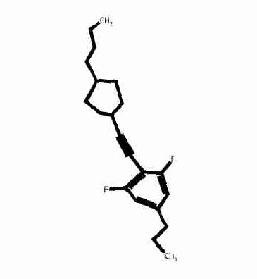 CCCCC1CCC(C#Cc2c(F)cc(CCC)cc2F)CC1